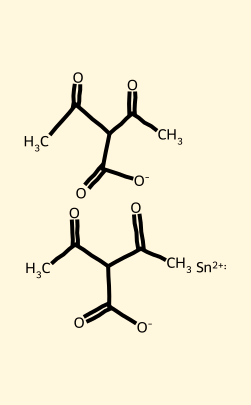 CC(=O)C(C(C)=O)C(=O)[O-].CC(=O)C(C(C)=O)C(=O)[O-].[Sn+2]